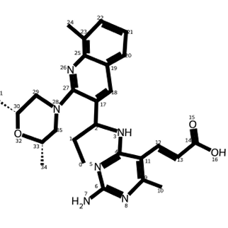 CCC(Nc1nc(N)nc(C)c1/C=C/C(=O)O)c1cc2cccc(C)c2nc1N1C[C@@H](C)O[C@@H](C)C1